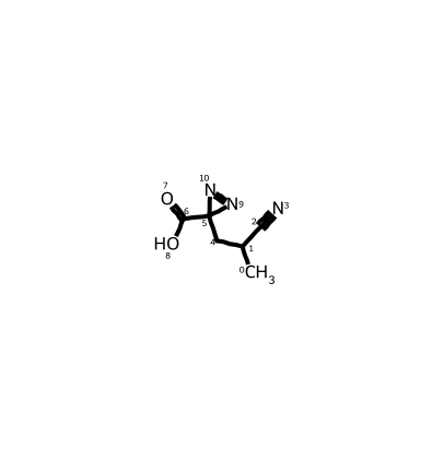 CC(C#N)CC1(C(=O)O)N=N1